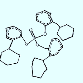 O=P(Oc1ccccc1C1CCCCC1)(Oc1ccccc1C1CCCCC1)Oc1ccccc1C1CCCCC1